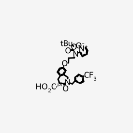 CC(C)(C)OC(=O)N(CCCOc1ccc2c(c1)CN(Cc1ccc(C(F)(F)F)cc1)C(=O)[C@H](CC(=O)O)C2)c1cccc[n+]1[O-]